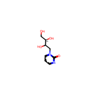 O=c1ncccn1CC(O)[C@H](O)CO